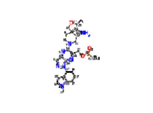 C[C@@H]1OCC2(CCN(c3nc4cnn(-c5cccc6c5ccn6C)c4nc3COS(=O)C(C)(C)C)CC2)[C@@H]1N